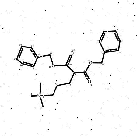 C[Si](C)(C)CCCC(C(=O)OCc1ccccc1)C(=O)OCc1ccccc1